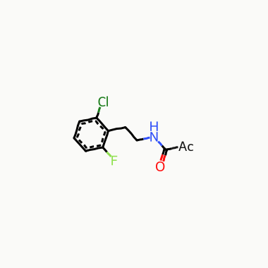 CC(=O)C(=O)NCCc1c(F)cccc1Cl